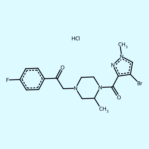 CC1CN(CC(=O)c2ccc(F)cc2)CCN1C(=O)c1nn(C)cc1Br.Cl